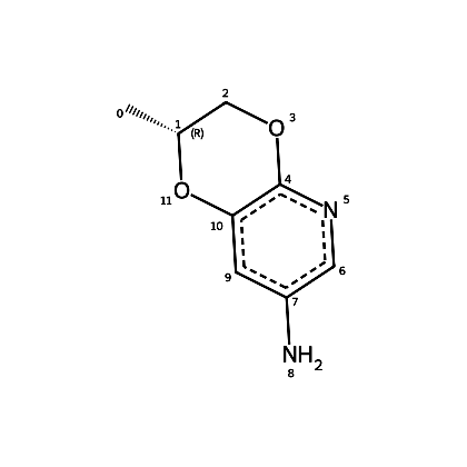 C[C@@H]1COc2ncc(N)cc2O1